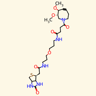 CO[C@H]1C#CCCN(C(=O)CCC(=O)NCCCOCCCNC(=O)C[C@@H]2SCC3NC(=O)NC32)C[C@@H]1OC